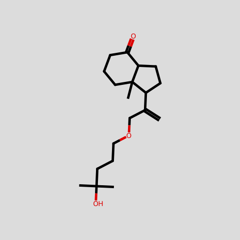 C=C(COCCCC(C)(C)O)C1CCC2C(=O)CCCC12C